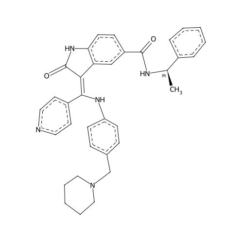 C[C@@H](NC(=O)c1ccc2c(c1)C(=C(Nc1ccc(CN3CCCCC3)cc1)c1ccncc1)C(=O)N2)c1ccccc1